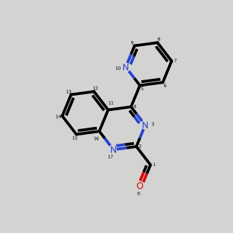 O=Cc1nc(-c2ccccn2)c2ccccc2n1